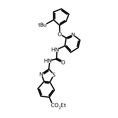 CCOC(=O)c1ccc2nc(NC(=O)Nc3cccnc3Oc3ccccc3C(C)(C)C)sc2c1